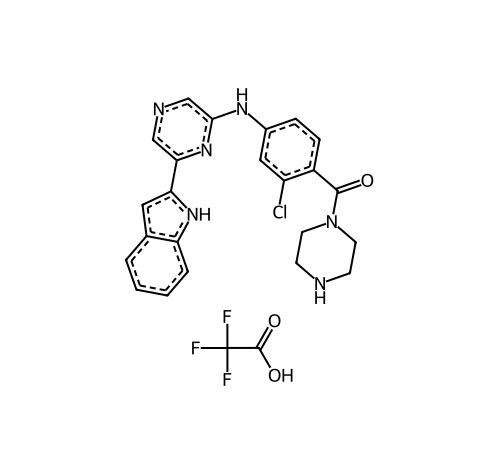 O=C(O)C(F)(F)F.O=C(c1ccc(Nc2cncc(-c3cc4ccccc4[nH]3)n2)cc1Cl)N1CCNCC1